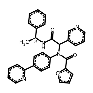 C[C@H](NC(=O)C(c1cccnc1)N(C(=O)c1ccco1)c1ccc(-c2ccccn2)cc1)c1ccccc1